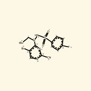 CC(C)(C)CN(NS(=O)(=O)c1ccc(F)cc1)c1nc(C#N)ncc1Br